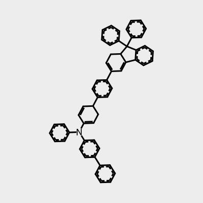 C1=CC(c2ccc(C3=CCC4C(=C3)c3ccccc3C4(c3ccccc3)c3ccccc3)cc2)CC=C1N(c1ccccc1)c1ccc(-c2ccccc2)cc1